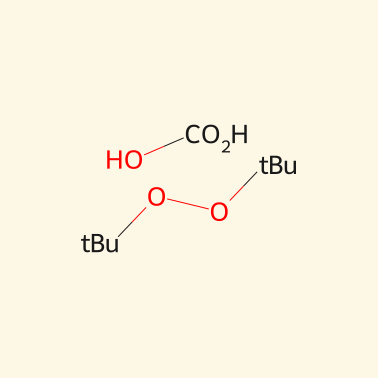 CC(C)(C)OOC(C)(C)C.O=C(O)O